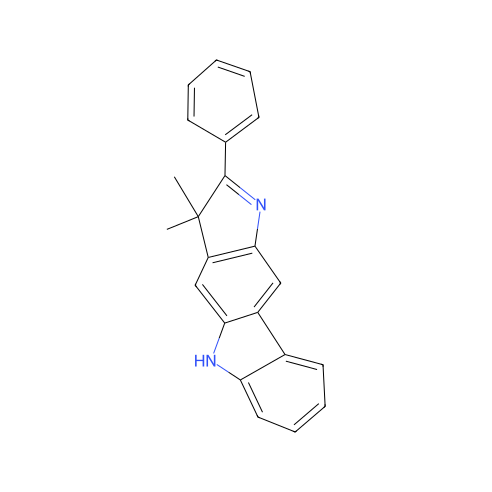 CC1(C)C(c2ccccc2)=Nc2cc3c(cc21)[nH]c1ccccc13